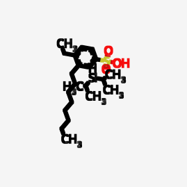 CCCCCCCCc1c(CC)ccc(S(=O)(=O)O)c1[SiH](C(C)C)C(C)C